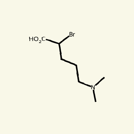 CN(C)CCCC(Br)C(=O)O